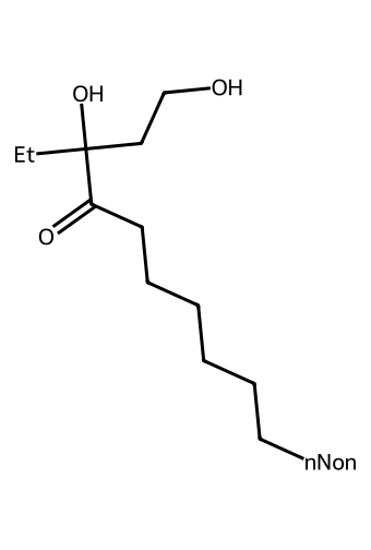 [CH2]CC(O)(CCO)C(=O)CCCCCCCCCCCCCCC